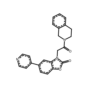 O=C(Cn1c(=O)oc2ccc(-c3ccncc3)cc21)N1CCc2ccccc2C1